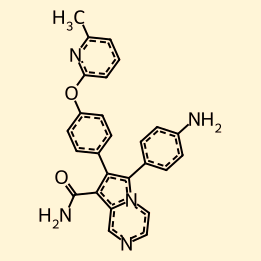 Cc1cccc(Oc2ccc(-c3c(C(N)=O)c4cnccn4c3-c3ccc(N)cc3)cc2)n1